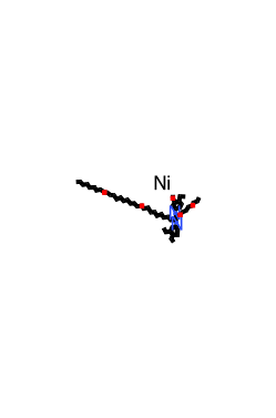 CCCCCCCCCCCCCCCCCCCCCCCCCCCCCC(=Nc1ccc(CC)c(CC)c1)C(CCCCCCCC)=Nc1ccc(CC)c(CC)c1.[Ni]